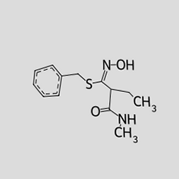 CCC(C(=O)NC)C(=NO)SCc1ccccc1